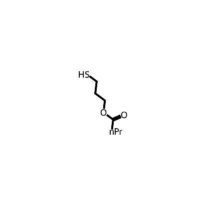 CCCC(=O)OCCCS